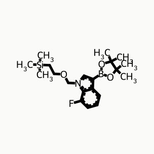 CC1(C)OB(c2cn(COCC[Si](C)(C)C)c3c(F)cccc23)OC1(C)C